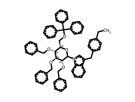 CCc1ccc(Cc2cn(C3O[C@H](COC(c4ccccc4)(c4ccccc4)c4ccccc4)[C@@H](OCc4ccccc4)[C@H](OCc4ccccc4)[C@H]3OCc3ccccc3)c3ccccc23)cc1